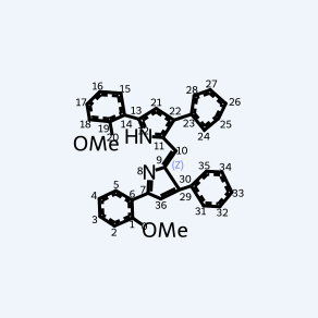 COc1ccccc1C1=N/C(=C\c2[nH]c(-c3ccccc3OC)cc2-c2ccccc2)C(c2ccccc2)=C1